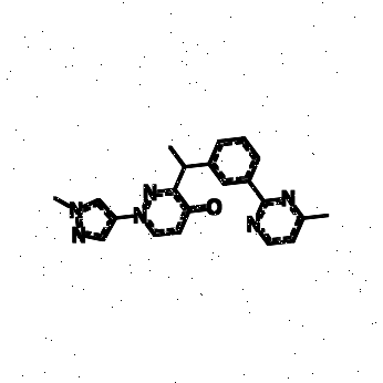 Cc1ccnc(-c2cccc(C(C)c3nn(-c4cnn(C)c4)ccc3=O)c2)n1